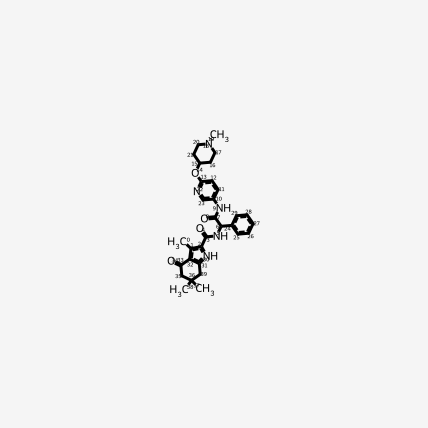 Cc1c(C(=O)NC(C(=O)Nc2ccc(OC3CCN(C)CC3)nc2)c2ccccc2)[nH]c2c1C(=O)CC(C)(C)C2